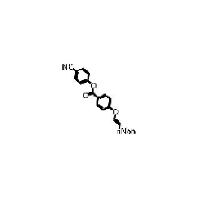 CCCCCCCCC/C=C/Oc1ccc(C(=O)Oc2ccc(C#N)cc2)cc1